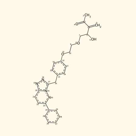 C=C(C(C)=O)C(O)COCCOc1ccc(Cc2nnc3ccc(-c4ccccc4)nn23)cc1